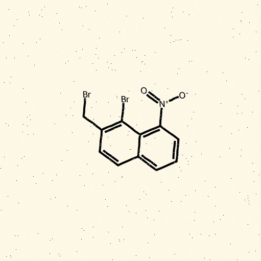 O=[N+]([O-])c1cccc2ccc(CBr)c(Br)c12